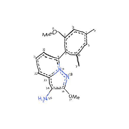 COc1cc(C)cc(C)c1-c1cccc2c(N)c(OC)nn12